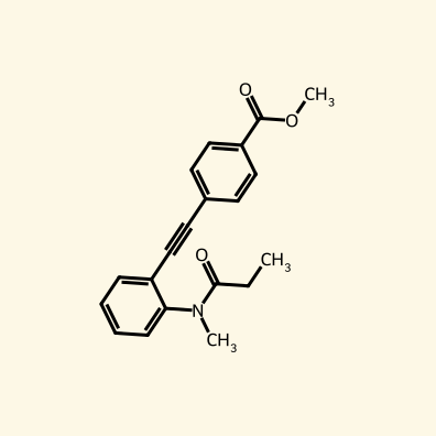 CCC(=O)N(C)c1ccccc1C#Cc1ccc(C(=O)OC)cc1